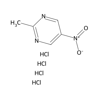 Cc1ncc([N+](=O)[O-])cn1.Cl.Cl.Cl.Cl